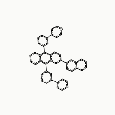 c1cc(-c2ccncc2)cc(-c2c3ccccc3c(-c3cccc(-c4ccncc4)c3)c3cc(-c4ccc5ccccc5c4)ccc23)c1